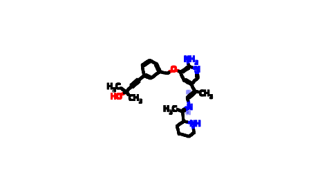 C/C(=C\N=C(/C)C1CCCCN1)c1cnc(N)c(OCc2cccc(C#CC(C)(C)O)c2)c1